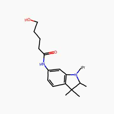 CC(C)N1c2cc(NC(=O)CCCCO)ccc2C(C)(C)C1C